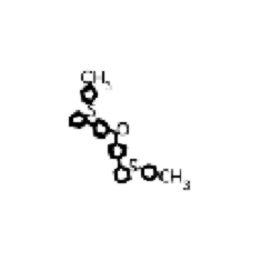 Cc1ccc(Sc2ccccc2-c2ccc(C(=O)c3ccc(-c4ccccc4Sc4ccc(C)cc4)cc3)cc2)cc1